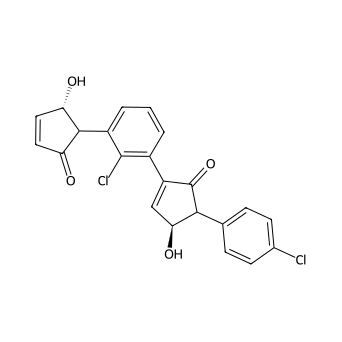 O=C1C(c2cccc(C3C(=O)C=C[C@@H]3O)c2Cl)=C[C@H](O)C1c1ccc(Cl)cc1